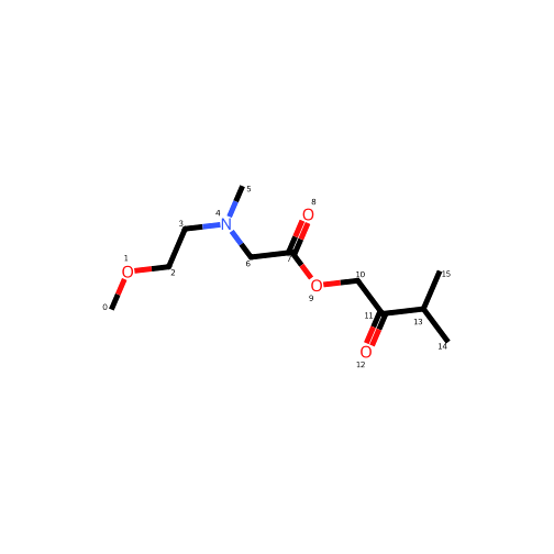 COCCN(C)CC(=O)OCC(=O)C(C)C